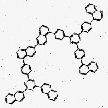 c1ccc2cc(-c3nc(-c4ccc(-c5ccnc6cc(-c7ccc8c(-c9ccc(-c%10nc(-c%11ccc(-c%12cccc%13ccccc%12%13)cc%11)nc(-c%11ccc(-c%12ccnc%13ccccc%12%13)cc%11)n%10)cc9)cccc8c7)ccc56)cc4)nc(-c4ccc5ccccc5c4)n3)ccc2c1